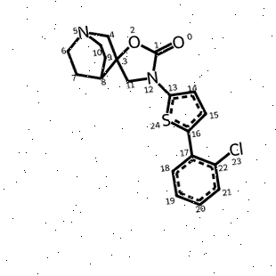 O=C1OC2(CN3CCC2CC3)CN1c1ccc(-c2ccccc2Cl)s1